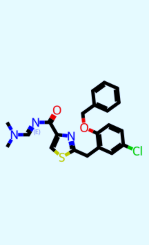 CN(C)/C=N/C(=O)c1csc(Cc2cc(Cl)ccc2OCc2ccccc2)n1